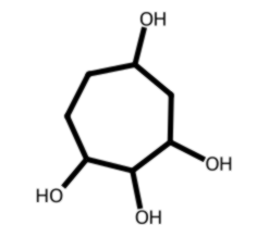 OC1CCC(O)C(O)C(O)C1